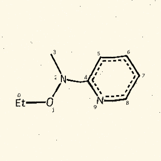 CCON(C)c1ccccn1